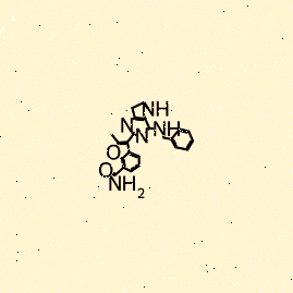 Cc1oc2c(C(N)=O)cccc2c1-c1nc2c(c(NCc3ccccc3)n1)NCC2